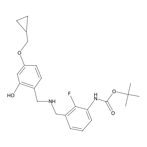 CC(C)(C)OC(=O)Nc1cccc(CNCc2ccc(OCC3CC3)cc2O)c1F